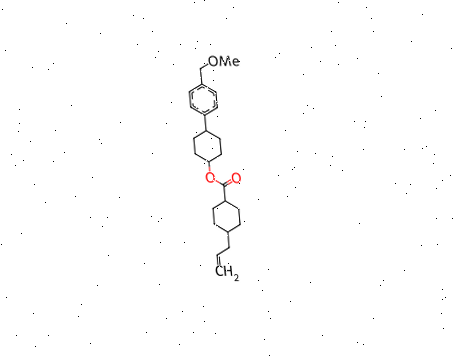 C=CCC1CCC(C(=O)OC2CCC(c3ccc(COC)cc3)CC2)CC1